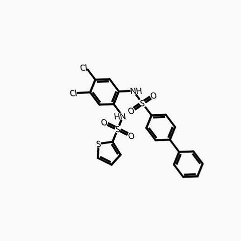 O=S(=O)(Nc1cc(Cl)c(Cl)cc1NS(=O)(=O)c1cccs1)c1ccc(-c2ccccc2)cc1